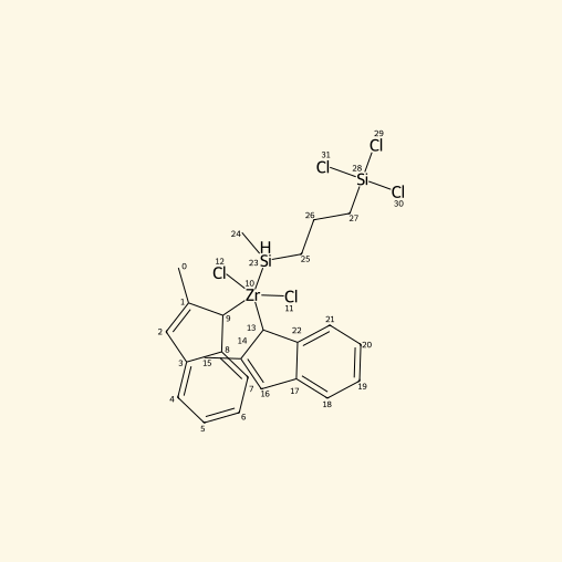 CC1=Cc2ccccc2[CH]1[Zr]([Cl])([Cl])([CH]1C(C)=Cc2ccccc21)[SiH](C)CCC[Si](Cl)(Cl)Cl